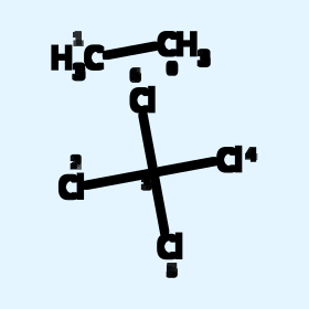 CC.ClC(Cl)(Cl)Cl